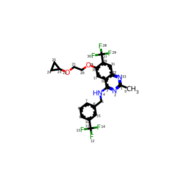 Cc1nc(NCc2cccc(C(F)(F)F)c2)c2cc(OCCOC3CC3)c(C(F)(F)F)cc2n1